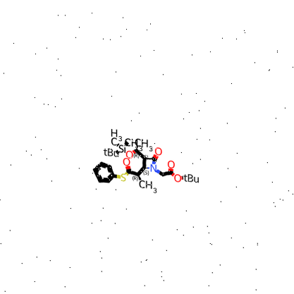 C[C@@H](O[Si](C)(C)C(C)(C)C)[C@H]1C(=O)N(CC(=O)OC(C)(C)C)[C@@H]1[C@@H](C)C(=O)Sc1ccccc1